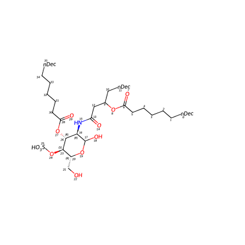 CCCCCCCCCCCCCCCC(=O)OC(CCCCCCCCCCC)CC(=O)N[C@H]1C(O)O[C@H](CO)[C@@H](OS(=O)(=O)O)[C@@H]1OC(=O)CCCCCCCCCCCCCCC